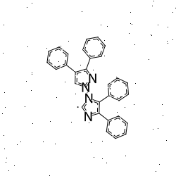 [c]1nc(-c2ccccc2)c(-c2ccccc2)n1-n1cc(-c2ccccc2)c(-c2ccccc2)n1